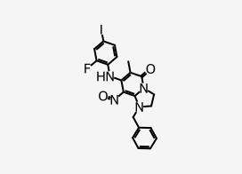 Cc1c(Nc2ccc(I)cc2F)c(N=O)c2n(c1=O)CCN2Cc1ccccc1